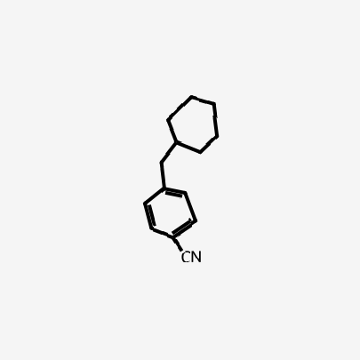 N#Cc1ccc(CC2CCCCC2)cc1